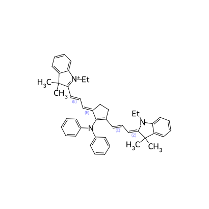 CCN1/C(=C\C=C\C2=C(N(c3ccccc3)c3ccccc3)C(=C/C=C/C3=[N+](CC)c4ccccc4C3(C)C)/CC2)C(C)(C)c2ccccc21